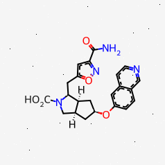 NC(=O)c1cc(CC2[C@H]3C[C@@H](Oc4ccc5cnccc5c4)C[C@H]3CN2C(=O)O)on1